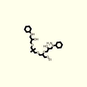 CCOCC(COCC(C)(C)COCC(O)CNC1CCCCC1)OCC(O)CN(N)C1CCCCC1